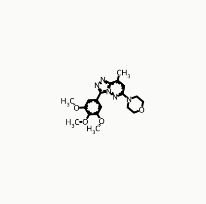 COc1cc(-c2nnc3c(C)cc(N4CCOCC4)nn23)cc(OC)c1OC